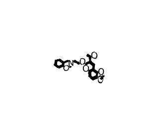 CC(=O)C(=Cc1cccc2c1OCO2)C(=O)OCCN(C=O)Cc1ccccc1